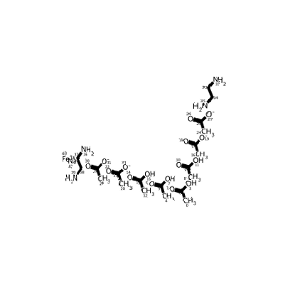 CC(=O)O.CC(=O)O.CC(=O)O.CC(=O)O.CC(=O)[O-].CC(=O)[O-].CC(=O)[O-].CC(=O)[O-].NCCN.NCCN.[Fe+3].[Na+]